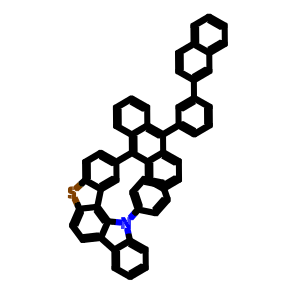 c1ccc(-n2c3ccccc3c3ccc4sc5ccc(-c6c7ccccc7c(-c7cccc(-c8ccc9ccccc9c8)c7)c7ccccc67)cc5c4c32)cc1